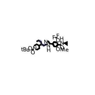 C/C=C\C(=C/c1ncc(-c2cc(OC)c(C(=O)NC3CC3)c(OC(F)F)c2)[nH]1)C1CCN(C(=O)OC(C)(C)C)CC1